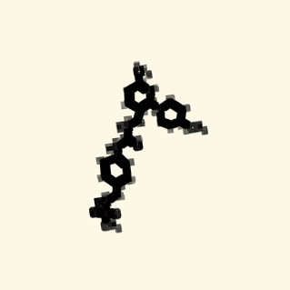 CC1CCN(c2nc(C(F)(F)F)ccc2CNC(=O)Nc2ccc(CNS(C)(=O)=O)cc2)CC1